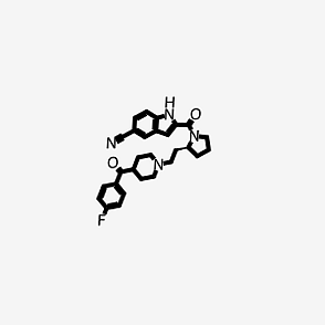 N#Cc1ccc2[nH]c(C(=O)N3CCC[C@H]3CCN3CCC(C(=O)c4ccc(F)cc4)CC3)cc2c1